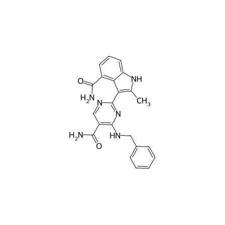 Cc1[nH]c2cccc(C(N)=O)c2c1-c1ncc(C(N)=O)c(NCc2ccccc2)n1